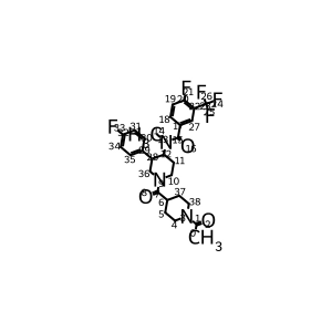 CC(=O)N1CCC(C(=O)N2CCC(N(C)C(=O)c3ccc(F)c(C(F)(F)F)c3)C(c3ccc(F)cc3)C2)CC1